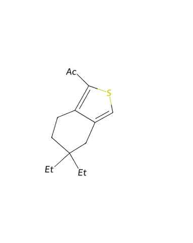 CCC1(CC)CCc2c(csc2C(C)=O)C1